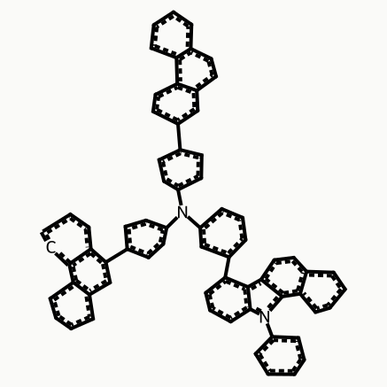 c1ccc(-n2c3cccc(-c4cccc(N(c5ccc(-c6ccc7c(ccc8ccccc87)c6)cc5)c5ccc(-c6cc7ccccc7c7ccccc67)cc5)c4)c3c3ccc4ccccc4c32)cc1